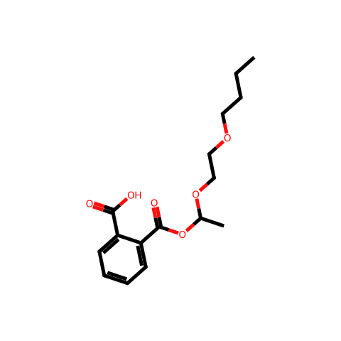 CCCCOCCOC(C)OC(=O)c1ccccc1C(=O)O